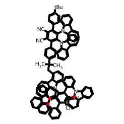 CC(C)(C)c1ccc(-c2c(C#N)c(C#N)c(-c3ccc(C(C)(C)Cc4cccc5c4c4ccccc4n5-c4c(-c5ccccc5-n5c6ccccc6c6ccccc65)c(C#N)c(C#N)c(-c5ccccc5-n5c6ccccc6c6ccccc65)c4-n4c5ccccc5c5ccccc54)cc3)c(-n3c4ccccc4c4ccccc43)c2-n2c3ccccc3c3ccccc32)cc1